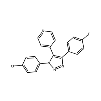 Fc1ccc(-c2nnn(-c3ccc(Cl)cc3)c2-c2ccncc2)cc1